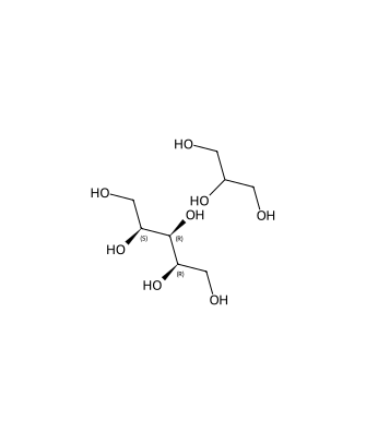 OCC(O)CO.OC[C@@H](O)[C@H](O)[C@@H](O)CO